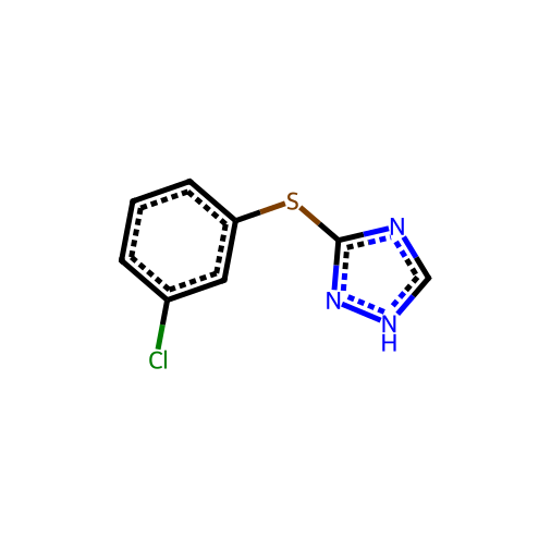 Clc1cccc(Sc2nc[nH]n2)c1